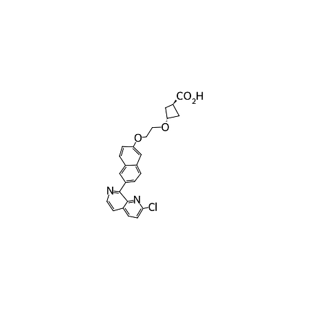 O=C(O)[C@H]1C[C@H](OCCOc2ccc3cc(-c4nccc5ccc(Cl)nc45)ccc3c2)C1